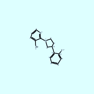 CC(C)c1cccnc1N1CCC(c2ccccc2F)C1